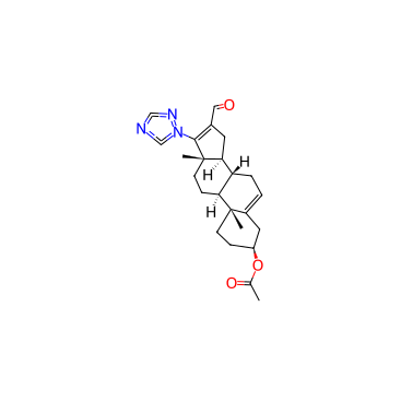 CC(=O)O[C@H]1CC[C@@]2(C)C(=CC[C@@H]3[C@@H]2CC[C@]2(C)C(n4cncn4)=C(C=O)C[C@@H]32)C1